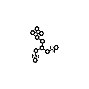 c1cc(-c2cc(-c3cccc(-c4nc5ccccc5o4)c3)cc(-c3cccc(-c4nc5ccccc5o4)c3)c2)cc(-c2ccc3c(c2)C2(c4ccccc4-c4ccccc42)c2ccccc2-3)c1